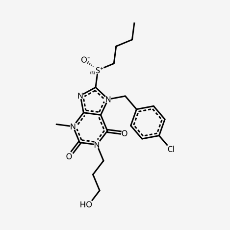 CCCC[S@@+]([O-])c1nc2c(c(=O)n(CCCO)c(=O)n2C)n1Cc1ccc(Cl)cc1